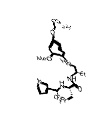 CC[C@@H](CNc1ccc(OCC(=O)O)cc1OC)NC(=O)[C@H](CC(C)C)N[C@@H](c1cccnc1)C(F)(F)F